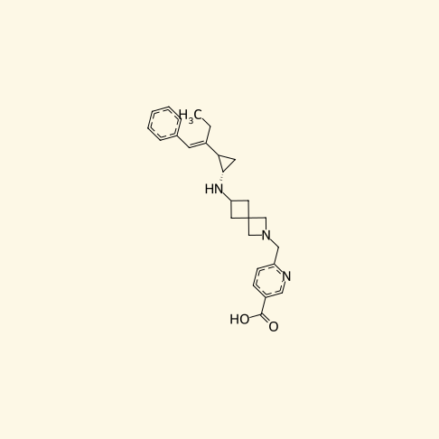 CCC(=Cc1ccccc1)C1C[C@@H]1NC1CC2(C1)CN(Cc1ccc(C(=O)O)cn1)C2